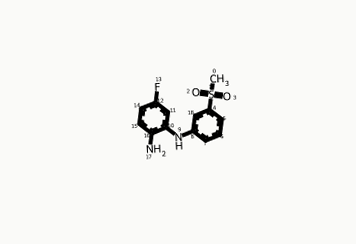 CS(=O)(=O)c1cccc(Nc2cc(F)ccc2N)c1